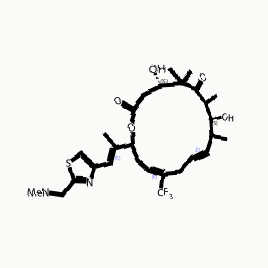 CNCc1nc(/C=C(\C)C2C/C=C(/C(F)(F)F)C/C=C/C(C)[C@H](O)C(C)C(=O)C(C)(C)[C@@H](O)CC(=O)O2)cs1